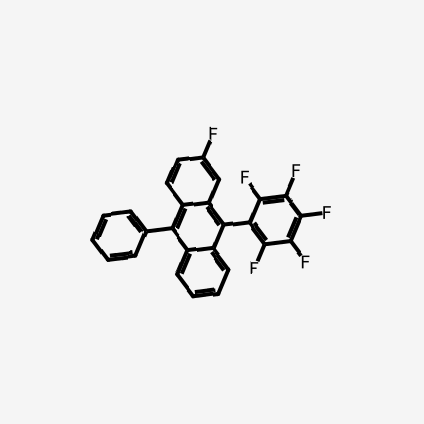 Fc1ccc2c(-c3ccccc3)c3ccccc3c(-c3c(F)c(F)c(F)c(F)c3F)c2c1